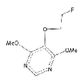 COc1ncnc(OC)c1OCCF